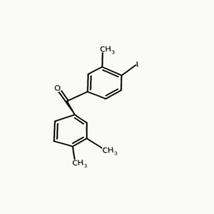 Cc1ccc(C(=O)c2ccc(I)c(C)c2)cc1C